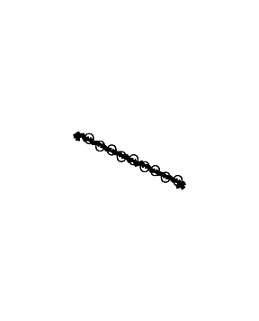 CC(C)(C)CCOCCOCCOCCOCCOCCOCCOCCOCCOC(C)(C)C